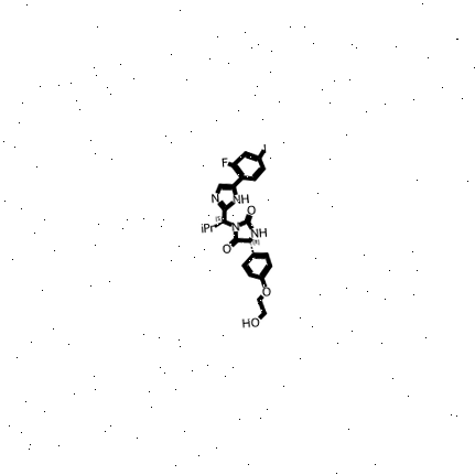 CC(C)[C@@H](c1ncc(-c2ccc(I)cc2F)[nH]1)N1C(=O)N[C@H](c2ccc(OCCO)cc2)C1=O